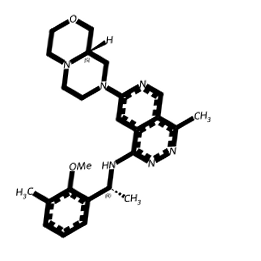 COc1c(C)cccc1[C@@H](C)Nc1nnc(C)c2cnc(N3CCN4CCOC[C@@H]4C3)cc12